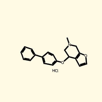 CN1Cc2occc2C(Oc2ccc(-c3ccccc3)cc2)C1.Cl